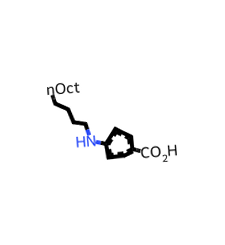 CCCCCCCCCCCCNc1ccc(C(=O)O)cc1